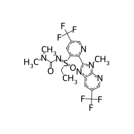 CCS(=O)(=NC(=O)N(C)C)c1cc(C(F)(F)F)cnc1-c1nc2cc(C(F)(F)F)cnc2n1C